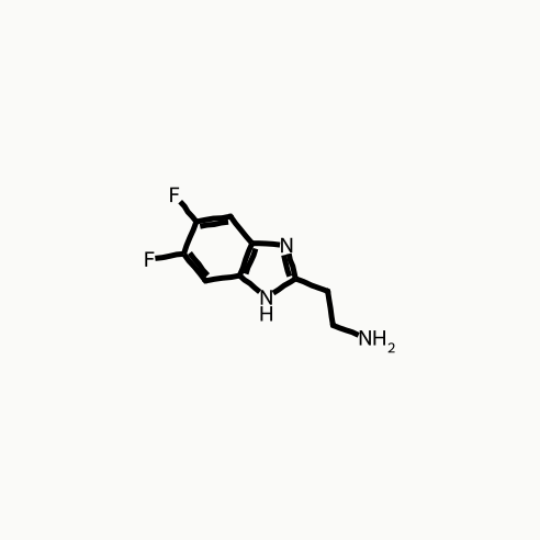 NCCc1nc2cc(F)c(F)cc2[nH]1